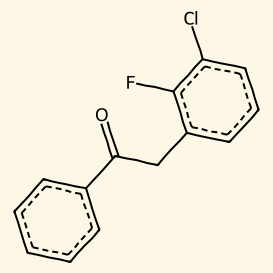 O=C(Cc1cccc(Cl)c1F)c1ccccc1